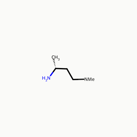 CNCC[C@@H](C)N